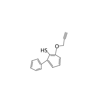 C#CCOc1cccc(-c2ccccc2)c1S